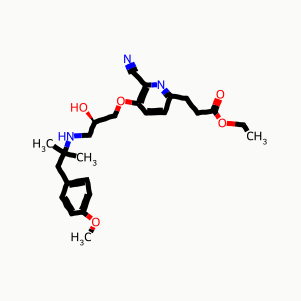 CCOC(=O)CCc1ccc(OC[C@H](O)CNC(C)(C)Cc2ccc(OC)cc2)c(C#N)n1